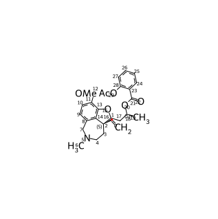 C=C[C@@]12CCN(C)Cc3ccc(OC)c(c31)OC2C[C@H](C)OC(=O)c1ccccc1OC(C)=O